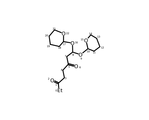 CCC(=O)CCC(=O)CC(OC1CCCCO1)OC1CCCCO1